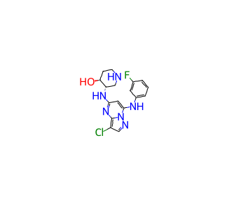 O[C@H]1CCNC[C@@H]1Nc1cc(Nc2cccc(F)c2)n2ncc(Cl)c2n1